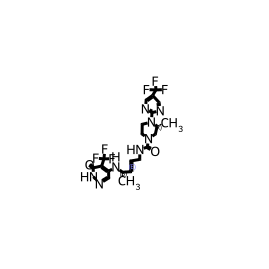 C[C@@H]1CN(C(=O)NC/C=C/[C@H](C)Nc2cn[nH]c(=O)c2C(F)(F)F)CCN1c1ncc(C(F)(F)F)cn1